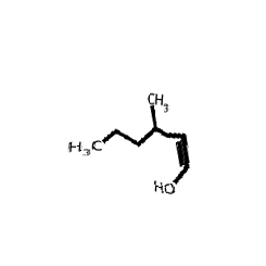 CCCC(C)/C=C\O